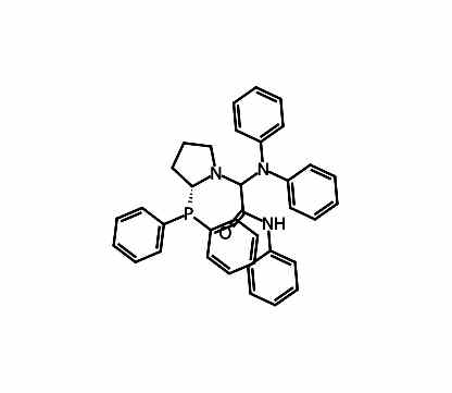 O=C(Nc1ccccc1)C(N(c1ccccc1)c1ccccc1)N1CCC[C@H]1P(c1ccccc1)c1ccccc1